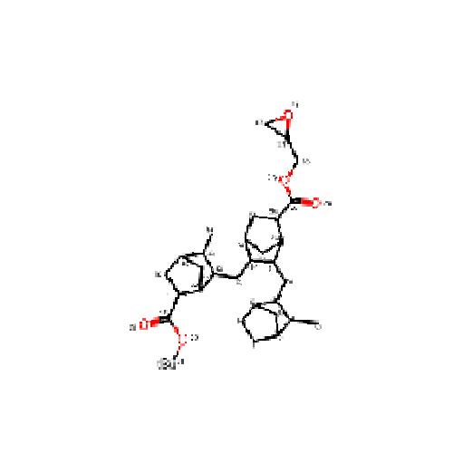 CC1C2CCC(C2)C1CC1C(CC2C(C)C3CC(C(=O)OC(C)(C)C)C2C3)C2CC(C(=O)OCC3CO3)C1C2